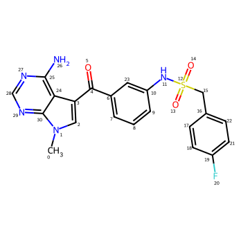 Cn1cc(C(=O)c2cccc(NS(=O)(=O)Cc3ccc(F)cc3)c2)c2c(N)ncnc21